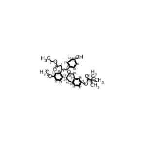 CCOC(=O)CN(C(=O)c1ccc(O)cc1)c1cc(OC)ccc1[C@@H]1CCc2cc(OC(=O)C(C)(C)C)ccc2C1